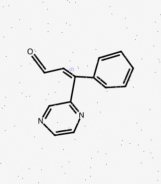 O=C/C=C(/c1ccccc1)c1cnccn1